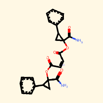 NC(=O)C1(OC(=O)/C=C\C(=O)OC2(C(N)=O)CC2c2ccccc2)CC1c1ccccc1